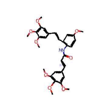 COc1ccc(NC(=O)/C=C/c2cc(OC)c(OC)c(OC)c2)c(C=Cc2cc(OC)c(OC)c(OC)c2)c1